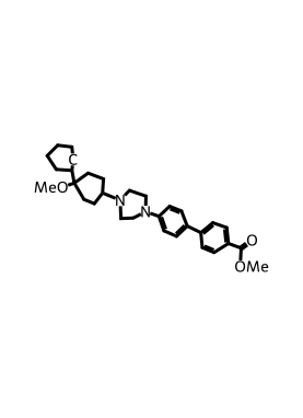 COC(=O)c1ccc(-c2ccc(N3CCN(C4CCC(OC)(C5CCCCC5)CC4)CC3)cc2)cc1